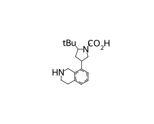 CC(C)(C)C1CC(c2cccc3c2CNCC3)CN1C(=O)O